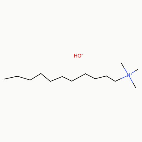 CCCCCCCCCCC[N+](C)(C)C.[OH-]